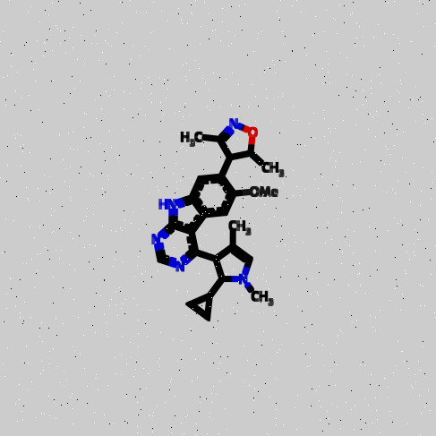 COc1cc2c(cc1C1C(C)=NOC1C)[nH]c1ncnc(C3C(C)=CN(C)C3C3CC3)c12